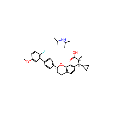 CC(C)NC(C)C.COc1ccc(F)c(-c2ccc([C@@H]3CCc4ccc([C@H](C5CC5)[C@H](C)C(=O)O)cc4O3)cc2)c1